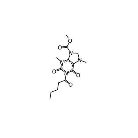 CCCCC(=O)n1c(=O)c2c(n(C)c1=O)N(C(=O)OC)CN2C